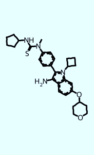 CN(C(=S)NC1CCCC1)c1ccc(-c2c(N)c3ccc(OC4CCOCC4)cc3n2C2CCC2)cc1